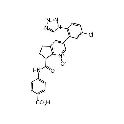 O=C(O)c1ccc(NC(=O)C2CCc3cc(-c4cc(Cl)ccc4-n4cnnn4)c[n+]([O-])c32)cc1